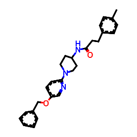 Cc1ccc(CCC(=O)NC2CCN(c3ccc(OCc4ccccc4)cn3)CC2)cc1